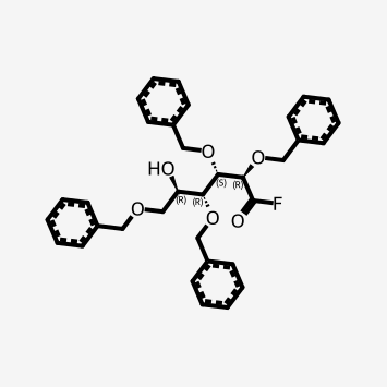 O=C(F)[C@H](OCc1ccccc1)[C@@H](OCc1ccccc1)[C@H](OCc1ccccc1)[C@H](O)COCc1ccccc1